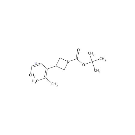 C/C=C\C(=C(C)C)C1CN(C(=O)OC(C)(C)C)C1